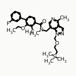 CCOc1c(-c2cccc(F)c2)ccc(C(=O)N(C)Cc2cnc(C)c3cnn(COCC[Si](C)(C)C)c23)c1C